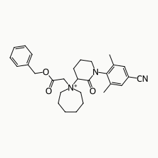 Cc1cc(C#N)cc(C)c1N1CCCC([N+]2(CC(=O)OCc3ccccc3)CCCCCC2)C1=O